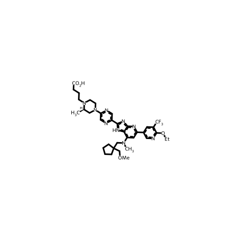 CCOc1ncc(-c2cc(N(C)CC3(COC)CCCC3)c3[nH]c(-c4cnc(N5CCN(CCCC(=O)O)[C@H](C)C5)cn4)nc3n2)cc1C(F)(F)F